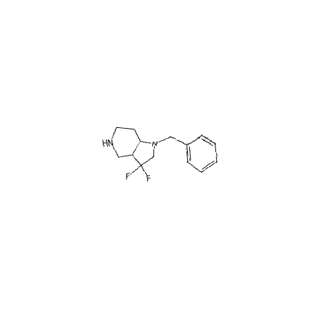 FC1(F)CN(Cc2ccccc2)C2CCNCC21